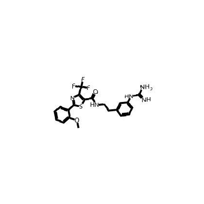 COc1ccccc1-c1nc(C(F)(F)F)c(C(=O)NCCc2cccc(NC(=N)N)c2)s1